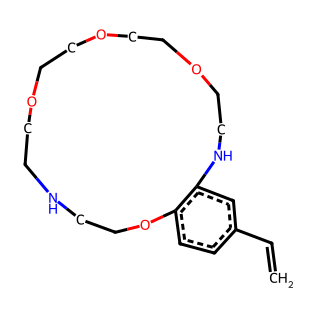 C=Cc1ccc2c(c1)NCCOCCOCCOCCNCCO2